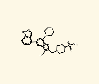 Cc1c(CN2CCN(S(C)(=O)=O)CC2)sc2c(N3CCOCC3)nc(-c3cccc4[nH]ncc34)cc12